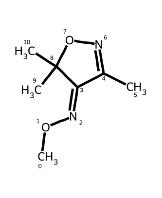 CO/N=C1/C(C)=NOC1(C)C